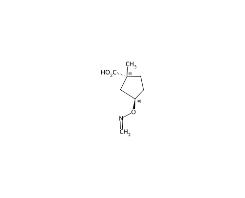 C=NO[C@@H]1CC[C@@](C)(C(=O)O)C1